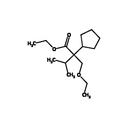 CCOCC(C(=O)OCC)(C(C)C)C1CCCC1